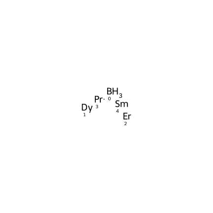 B.[Dy].[Er].[Pr].[Sm]